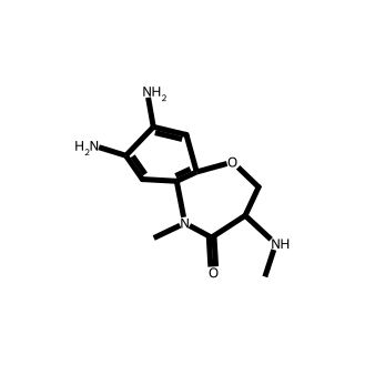 CNC1COc2cc(N)c(N)cc2N(C)C1=O